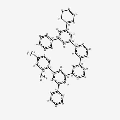 Cc1ccc(-c2nc(-c3ccccc3)nc(-c3cccc(-c4cccc(-c5cc(C6=CC=CCC6)nc(-c6ccccc6)n5)c4)c3)n2)c(C)n1